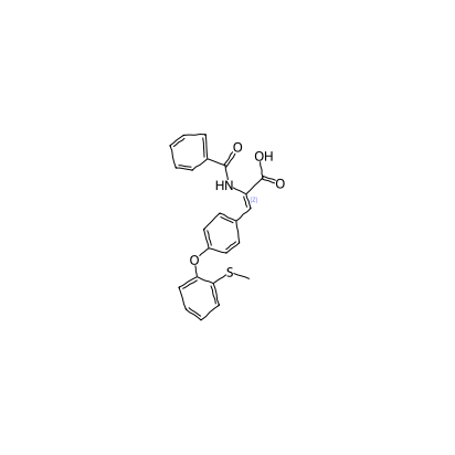 CSc1ccccc1Oc1ccc(/C=C(\NC(=O)c2ccccc2)C(=O)O)cc1